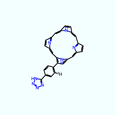 [2H]c1cc(-c2nnn[nH]2)ccc1-c1cc2cc3nc(cc4ccc(cc5nc(cc1[nH]2)C=C5)[nH]4)C=C3